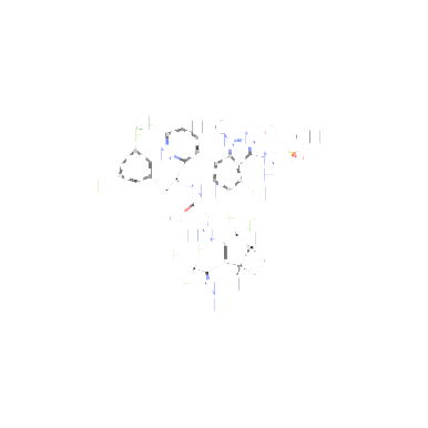 Cn1nc(NS(C)(=O)=O)c2c(Cl)ccc(-c3ccc(Cl)nc3[C@H](Cc3cc(F)cc(F)c3)NC(=O)CNC3=C(C(=N)C(F)(F)F)[C@H]4CC[C@H]4C3(F)F)c21